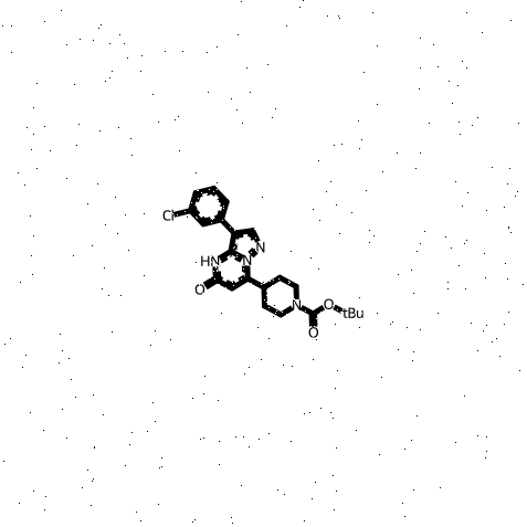 CC(C)(C)OC(=O)N1CCC(c2cc(=O)[nH]c3c(-c4cccc(Cl)c4)cnn23)CC1